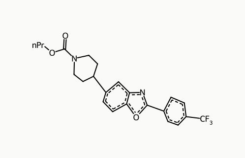 CCCOC(=O)N1CCC(c2ccc3oc(-c4ccc(C(F)(F)F)cc4)nc3c2)CC1